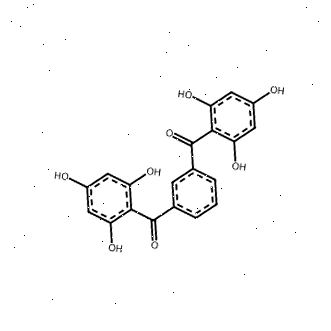 O=C(c1cccc(C(=O)c2c(O)cc(O)cc2O)c1)c1c(O)cc(O)cc1O